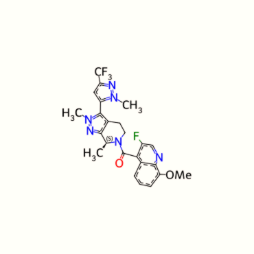 COc1cccc2c(C(=O)N3CCc4c(nn(C)c4-c4cc(C(F)(F)F)nn4C)[C@@H]3C)c(F)cnc12